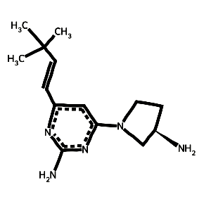 CC(C)(C)C=Cc1cc(N2CC[C@@H](N)C2)nc(N)n1